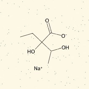 CCC(O)(C(=O)[O-])C(C)O.[Na+]